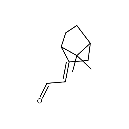 CC1(C)C2CCC1C(=CC=O)C2